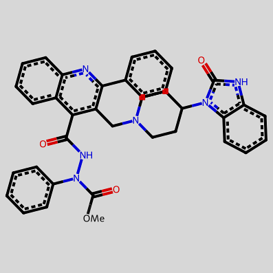 COC(=O)N(NC(=O)c1c(CN2CCC(n3c(=O)[nH]c4ccccc43)CC2)c(-c2ccccc2)nc2ccccc12)c1ccccc1